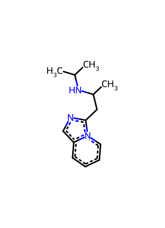 CC(C)NC(C)Cc1ncc2ccccn12